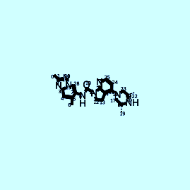 Cc1nc2cc(C)c(NC(=O)N3CCc4c(N5C[C@@H](C)N[C@@H](C)C5)ccnc43)cn2n1